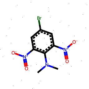 CN(C)c1c([N+](=O)[O-])cc(Br)cc1[N+](=O)[O-]